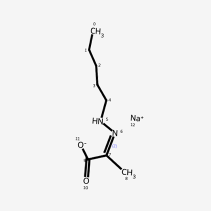 CCCCCN/N=C(/C)C(=O)[O-].[Na+]